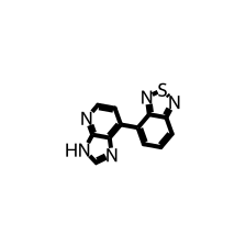 c1cc(-c2ccnc3[nH]cnc23)c2nsnc2c1